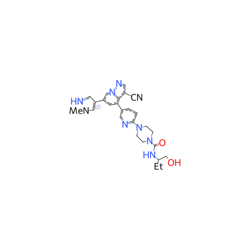 CCC(CO)NC(=O)N1CCN(c2ccc(-c3cc(/C(C=N)=C/NC)cn4ncc(C#N)c34)cn2)CC1